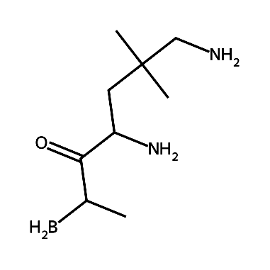 BC(C)C(=O)C(N)CC(C)(C)CN